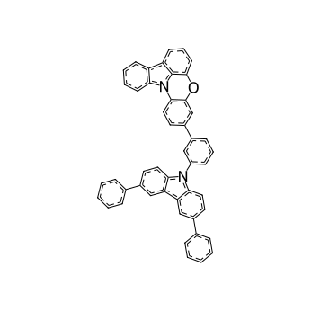 c1ccc(-c2ccc3c(c2)c2cc(-c4ccccc4)ccc2n3-c2cccc(-c3ccc4c(c3)Oc3cccc5c6ccccc6n-4c35)c2)cc1